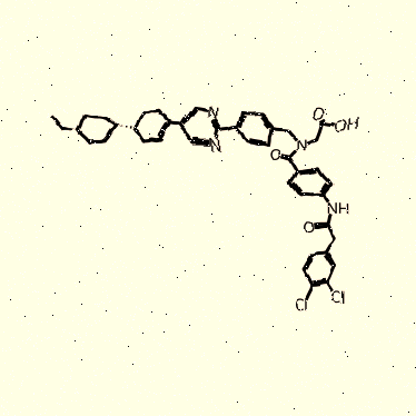 CC[C@H]1CC[C@H](C2CC=C(c3cnc(-c4ccc(CN(CC(=O)O)C(=O)c5ccc(NC(=O)Cc6ccc(Cl)c(Cl)c6)cc5)cc4)nc3)CC2)CC1